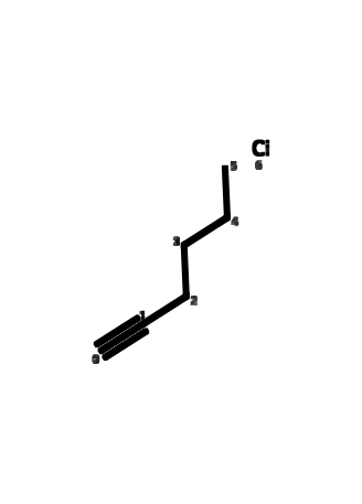 C#CCCCC.[C]